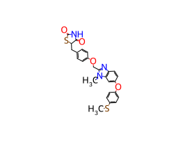 CSc1ccc(Oc2ccc3nc(COc4ccc(CC5SC(=O)NC5=O)cc4)n(C)c3c2)cc1